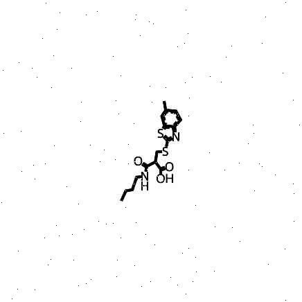 CCCCNC(=O)C(CSc1nc2ccc(C)cc2s1)C(=O)O